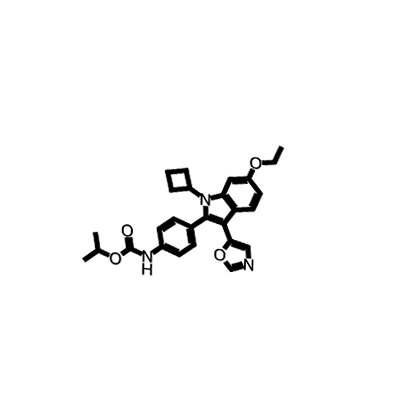 CCOc1ccc2c(-c3cnco3)c(-c3ccc(NC(=O)OC(C)C)cc3)n(C3CCC3)c2c1